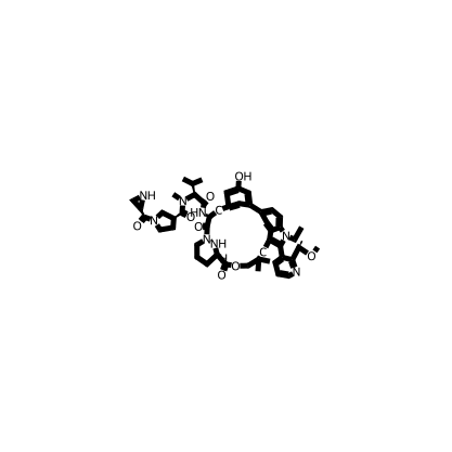 CCn1c(-c2cccnc2[C@H](C)OC)c2c3cc(ccc31)-c1cc(O)cc(c1)C[C@H](NC(=O)[C@H](C(C)C)N(C)C(=O)[C@H]1CCN(C(=O)[C@H]3CN3)C1)C(=O)N1CCC[C@H](N1)C(=O)OCC(C)(C)C2